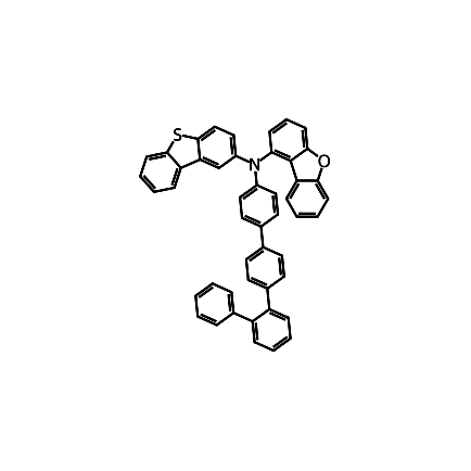 c1ccc(-c2ccccc2-c2ccc(-c3ccc(N(c4ccc5sc6ccccc6c5c4)c4cccc5oc6ccccc6c45)cc3)cc2)cc1